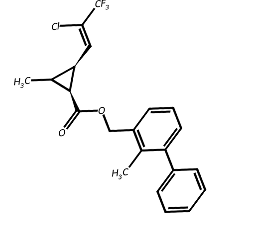 Cc1c(COC(=O)[C@H]2C(C)[C@H]2/C=C(\Cl)C(F)(F)F)cccc1-c1ccccc1